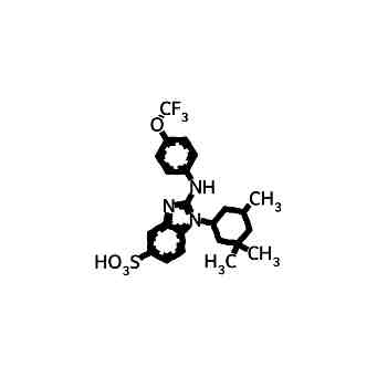 CC1CC(n2c(Nc3ccc(OC(F)(F)F)cc3)nc3cc(S(=O)(=O)O)ccc32)CC(C)(C)C1